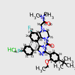 CCOc1cc(C(C)(C)C)ccc1C1=N[C@@H](c2ccc(F)cc2)[C@@H](c2ccc(F)cc2)N1C(=O)N1CCN(CC(=O)N(C)C)CC1.Cl